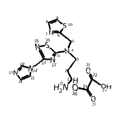 NCCCN(Cc1nccs1)c1nc(-n2ccnc2)ns1.O=C(O)C(=O)O